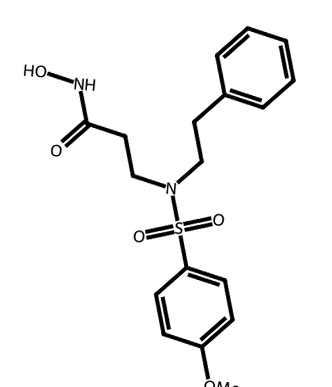 COc1ccc(S(=O)(=O)N(CCC(=O)NO)CCc2ccccc2)cc1